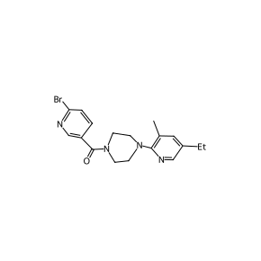 CCc1cnc(N2CCN(C(=O)c3ccc(Br)nc3)CC2)c(C)c1